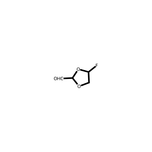 O=CC1OCC(F)O1